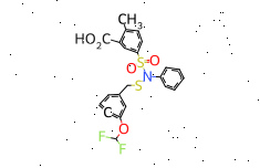 Cc1ccc(S(=O)(=O)N(SCc2cccc(OC(F)F)c2)c2ccccc2)cc1C(=O)O